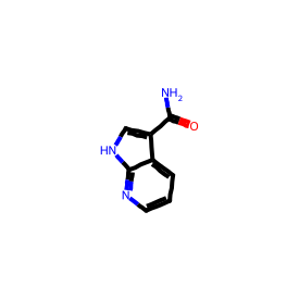 NC(=O)c1c[nH]c2ncccc12